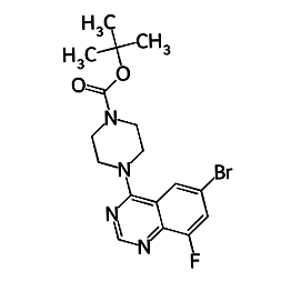 CC(C)(C)OC(=O)N1CCN(c2ncnc3c(F)cc(Br)cc23)CC1